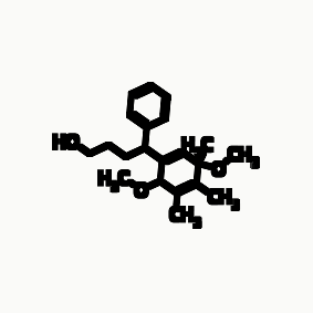 COC1C(C(CCCO)c2ccccc2)=CC(C)(OC)C(C)=C1C